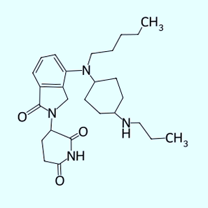 CCCCCN(c1cccc2c1CN(C1CCC(=O)NC1=O)C2=O)C1CCC(NCCC)CC1